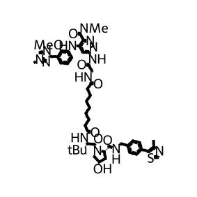 CNC(=O)c1nnc(NC(=O)CNC(=O)CCCCCCCC(=O)N[C@H](C(=O)N2C[C@H](O)C[C@H]2C(=O)NCc2ccc(-c3scnc3C)cc2)C(C)(C)C)cc1Nc1cccc(-c2ncn(C)n2)c1OC